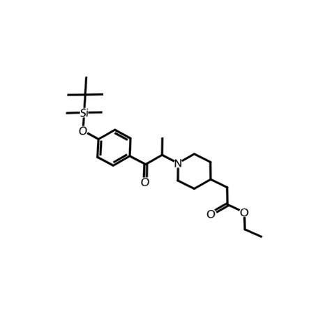 CCOC(=O)CC1CCN(C(C)C(=O)c2ccc(O[Si](C)(C)C(C)(C)C)cc2)CC1